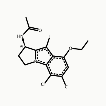 CCOc1cc(Cl)c(Cl)c2c1c(I)c1n2CC[C@H]1NC(C)=O